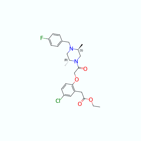 CCOC(=O)Cc1cc(Cl)ccc1OCC(=O)N1C[C@H](C)N(Cc2ccc(F)cc2)C[C@H]1C